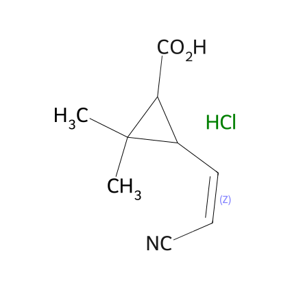 CC1(C)C(/C=C\C#N)C1C(=O)O.Cl